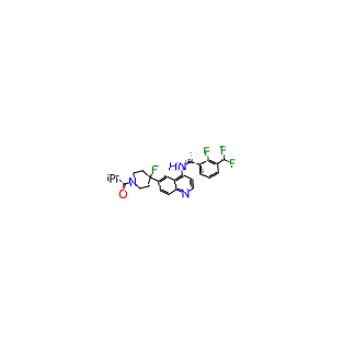 CC(C)C(=O)N1CCC(F)(c2ccc3nccc(N[C@H](C)c4cccc(C(F)F)c4F)c3c2)CC1